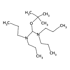 CCCN(CCC)C(OC(C)(C)C)N(CCC)CCC